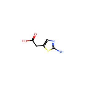 [NH]c1ncc(CC(=O)O)s1